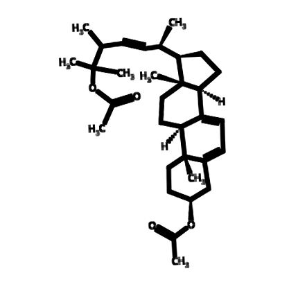 CC(=O)O[C@H]1CC[C@@]2(C)C(=CC=C3[C@@H]4CC[C@H]([C@H](C)/C=C/C(C)C(C)(C)OC(C)=O)[C@@]4(C)CC[C@@H]32)C1